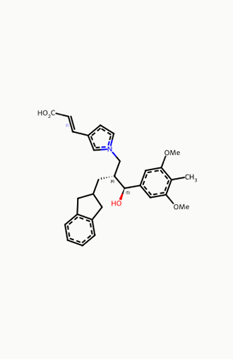 COc1cc([C@@H](O)[C@H](CC2Cc3ccccc3C2)Cn2ccc(/C=C/C(=O)O)c2)cc(OC)c1C